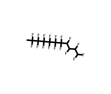 CC(F)(F)C(F)(F)C(F)(F)C(F)(F)C(F)(F)C(F)(F)C(F)C(F)C(F)C(F)F